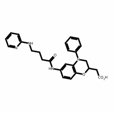 O=C(O)CC1CN(c2ccccc2)c2cc(NC(=O)CCCNc3ccccn3)ccc2O1